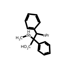 CCCC(c1ccccc1)[C]([SbH][CH3])(C(=O)O)c1ccccc1